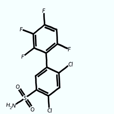 NS(=O)(=O)c1cc(-c2c(F)cc(F)c(F)c2F)c(Cl)cc1Cl